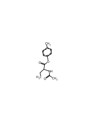 CCC(NC(C)=O)C(=O)Oc1ccc(C)cc1